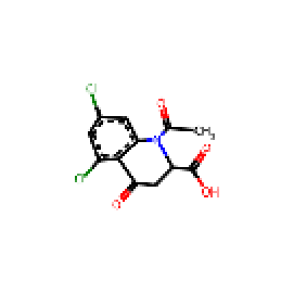 CC(=O)N1c2cc(Cl)cc(Cl)c2C(=O)CC1C(=O)O